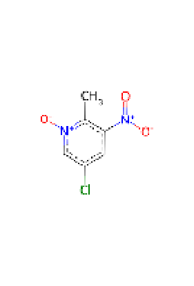 Cc1c([N+](=O)[O-])cc(Cl)c[n+]1[O-]